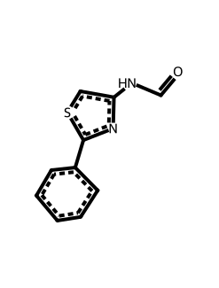 O=CNc1csc(-c2ccccc2)n1